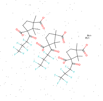 CC1(C(=O)[O-])CCC(C(=O)[O-])(C(=O)C(F)(F)C(F)(F)C(F)(F)F)C1(C)C.CC1(C(=O)[O-])CCC(C(=O)[O-])(C(=O)C(F)(F)C(F)(F)C(F)(F)F)C1(C)C.CC1(C(=O)[O-])CCC(C(=O)[O-])(C(=O)C(F)(F)C(F)(F)C(F)(F)F)C1(C)C.[Pr+3].[Pr+3]